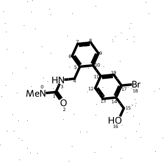 CNC(=O)NCc1ccccc1-c1ccc(CO)c(Br)c1